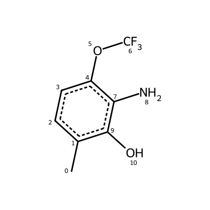 Cc1ccc(OC(F)(F)F)c(N)c1O